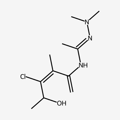 C=C(N/C(C)=N/N(C)C)/C(C)=C(/Cl)C(C)O